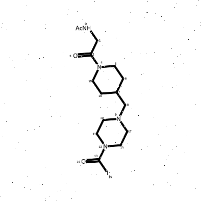 CC(=O)NCC(=O)N1CCC(CN2CCN(C(=O)I)CC2)CC1